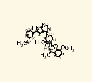 COc1cccc(C(C)NC(=O)N2CCN(c3ncnc4[nH]c(-c5ccnc(OC)c5)cc34)CC2(C)C)c1